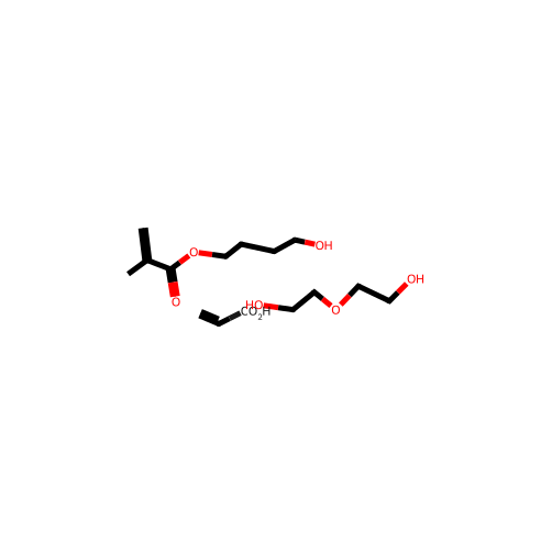 C=C(C)C(=O)OCCCCO.C=CC(=O)O.OCCOCCO